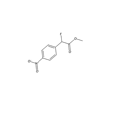 COC(=O)C(F)c1ccc([N+](=O)[O-])cc1